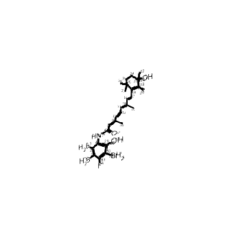 Bc1c(B)c(NC(=O)/C=C(C)/C=C/C=C(C)/C=C/C2=C(C)C(C)(O)CCC2(C)C)c(O)c(B)c1F